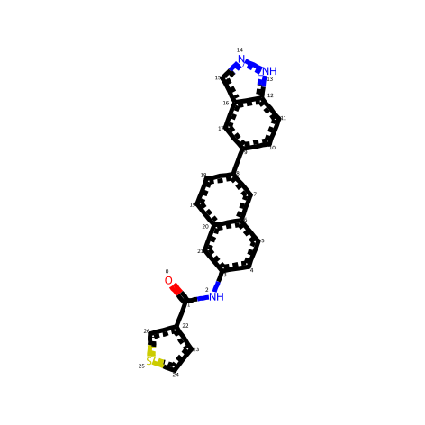 O=C(Nc1ccc2cc(-c3ccc4[nH]ncc4c3)ccc2c1)c1ccsc1